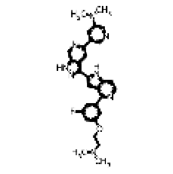 CN(C)CCOc1cc(F)cc(-c2nccc3[nH]c(-c4n[nH]c5cnc(-c6cncc(N(C)C)c6)cc45)cc23)c1